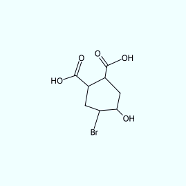 O=C(O)C1CC(O)C(Br)CC1C(=O)O